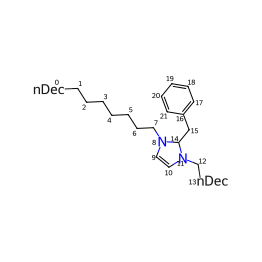 CCCCCCCCCCCCCCCCCN1C=CN(CCCCCCCCCCC)C1Cc1ccccc1